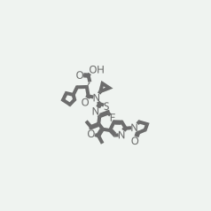 Cc1oc(C)c(-c2nc(N(C(=O)[C@@H](CC(=O)O)CC3CCCC3)C3CC3)sc2F)c1-c1ccc(N2CCCC2=O)nc1